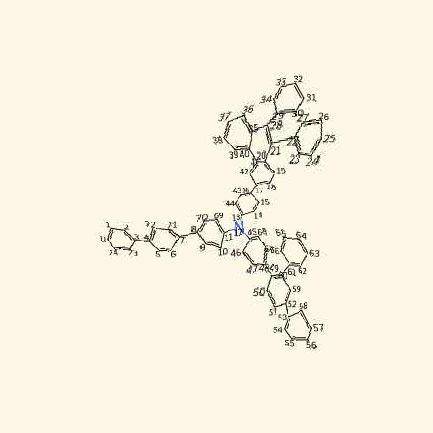 c1ccc(-c2ccc(-c3ccc(N(c4ccc(-c5ccc6c(-c7ccccc7)c(-c7ccccc7)c7ccccc7c6c5)cc4)c4ccc(-c5ccc(-c6ccccc6)cc5-c5ccccc5)cc4)cc3)cc2)cc1